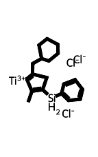 CC1=C([SiH2]c2ccccc2)CC(CC2CCCCC2)=[C]1[Ti+3].[Cl-].[Cl-].[Cl-]